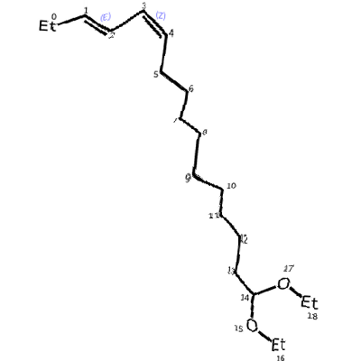 CC/C=C/C=C\CCCCCCCCCC(OCC)OCC